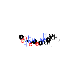 CC(C)c1cccc(Nc2nc3cc(Oc4ccnc(C(=O)NCCNS(=O)(=O)c5ccccc5)c4)ccc3n2C)c1